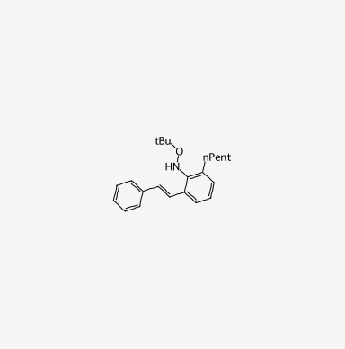 CCCCCc1cccc(C=Cc2ccccc2)c1NOC(C)(C)C